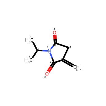 C=C1CC(=O)N(C(C)C)C1=O